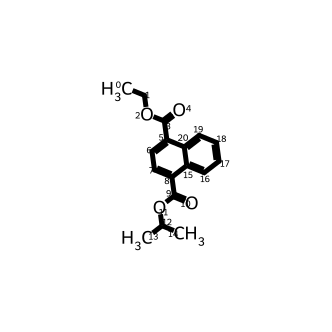 CCOC(=O)c1ccc(C(=O)OC(C)C)c2ccccc12